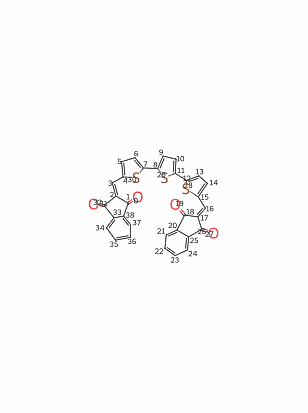 O=C1C(=Cc2ccc(-c3ccc(-c4ccc(C=C5C(=O)c6ccccc6C5=O)s4)s3)s2)C(=O)c2ccccc21